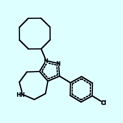 Clc1ccc(-c2nn(C3CCCCCCC3)c3c2CCNCC3)cc1